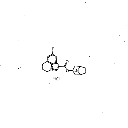 CN1C2CCC1CC(OC(=O)c1cn3c4c(cc(F)cc14)CCC3)C2.Cl